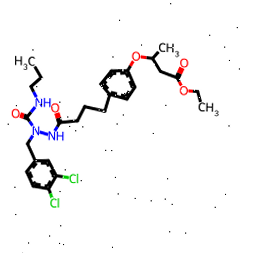 CCCNC(=O)N(Cc1ccc(Cl)c(Cl)c1)NC(=O)CCCc1ccc(OC(C)CC(=O)OCC)cc1